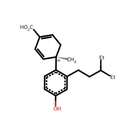 CCC(CC)CCc1cc(O)ccc1[C@@]1(C)C=CC(C(=O)O)=CC1